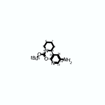 CC(C)(C)OC(=O)N1CCCC[C@H]1c1cncc(N)c1